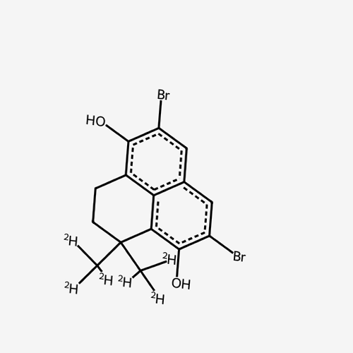 [2H]C([2H])([2H])C1(C([2H])([2H])[2H])CCc2c(O)c(Br)cc3cc(Br)c(O)c1c23